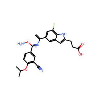 C=C(/N=C(\ON)c1ccc(OC(C)C)c(C#N)c1)c1cc(F)c2[nH]c(CCC(=O)O)cc2c1